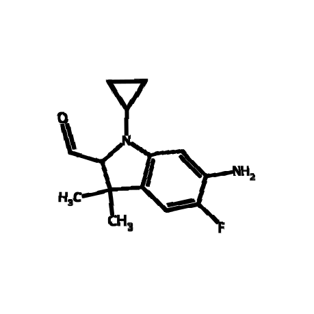 CC1(C)c2cc(F)c(N)cc2N(C2CC2)C1C=O